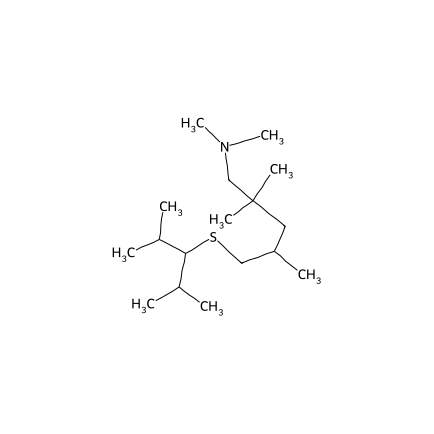 CC(CSC(C(C)C)C(C)C)CC(C)(C)CN(C)C